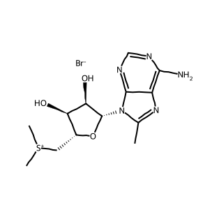 Cc1nc2c(N)ncnc2n1[C@@H]1O[C@H](C[S+](C)C)[C@@H](O)[C@H]1O.[Br-]